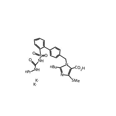 CCCCc1nc(SC)c(C(=O)O)n1Cc1ccc(-c2ccccc2S(=O)(=O)NC(=O)NCCC)cc1.[K].[K]